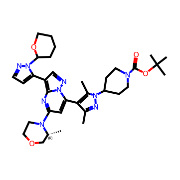 Cc1nn(C2CCN(C(=O)OC(C)(C)C)CC2)c(C)c1-c1cc(N2CCOC[C@H]2C)nc2c(-c3ccnn3C3CCCCO3)cnn12